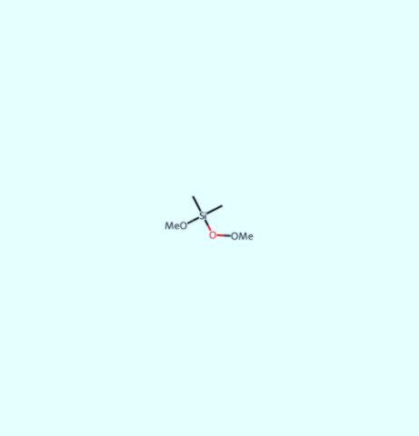 COO[Si](C)(C)OC